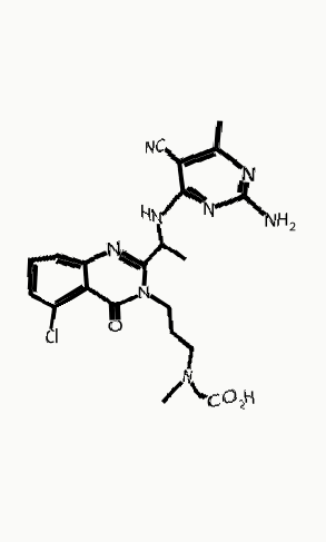 Cc1nc(N)nc(NC(C)c2nc3cccc(Cl)c3c(=O)n2CCCN(C)C(=O)O)c1C#N